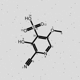 COc1cnc(C#N)c(O)c1S(=O)(=O)O